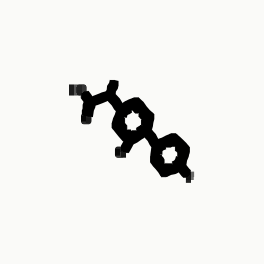 CC(C(=O)O)c1ccc(-c2ccc(F)cc2)c(Cl)c1